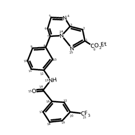 CCOC(=O)c1cc2nccc(-c3cccc(NC(=O)c4cccc(C(F)(F)F)c4)c3)n2n1